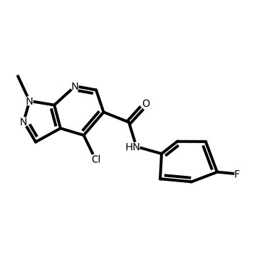 Cn1ncc2c(Cl)c(C(=O)Nc3ccc(F)cc3)cnc21